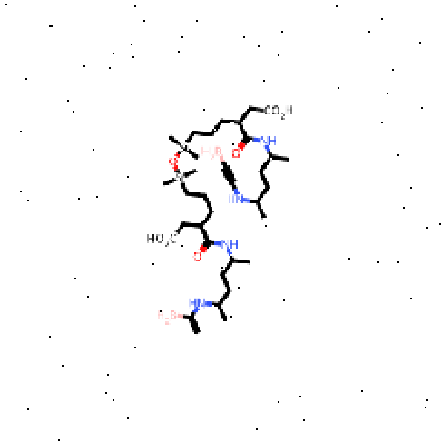 BC#CNC(C)CCC(C)NC(=O)C(CCC[Si](C)(C)O[Si](C)(C)CCCC(CC(=O)O)C(=O)NC(C)CCC(C)NC(B)=C)CC(=O)O